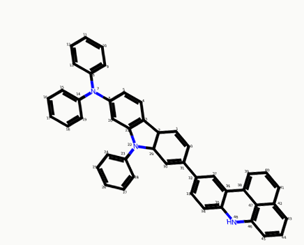 C1=CC2c3ccc(N(c4ccccc4)c4ccccc4)cc3N(c3ccccc3)C2C=C1c1ccc2c(c1)-c1cccc3cccc(c13)N2